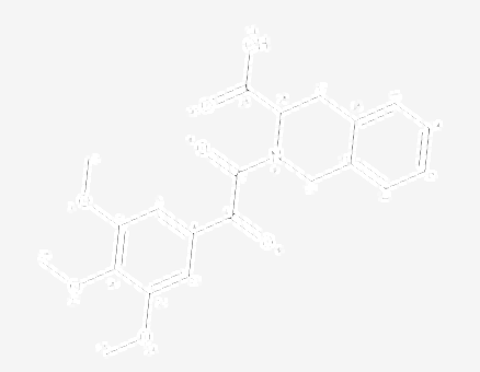 COc1cc(C(=O)C(=O)N2Cc3ccccc3CC2C(=O)O)cc(OC)c1OC